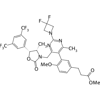 COC(=O)CCc1ccc(OC)c(-c2c(C)nc(N3CC(F)(F)C3)nc2CN2C(=O)O[C@H](c3cc(C(F)(F)F)cc(C(F)(F)F)c3)[C@@H]2C)c1